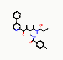 C=C(N[C@H](O)CC(C)C)[C@H](CNC(=O)c1ccc(C)cc1)C(=C)C(=O)c1cc(-c2ccccc2)ccn1